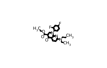 CCCN(CC)c1ccc2c(=O)c(C(=O)OCC)cn(-c3ccc(F)cc3F)c2n1